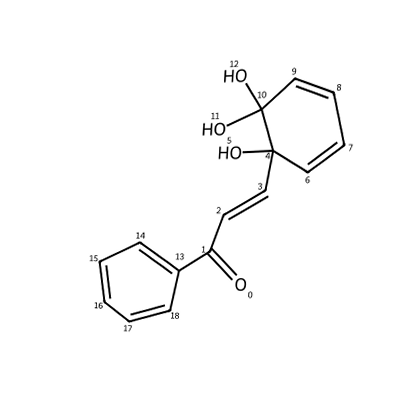 O=C(C=CC1(O)C=CC=CC1(O)O)c1ccccc1